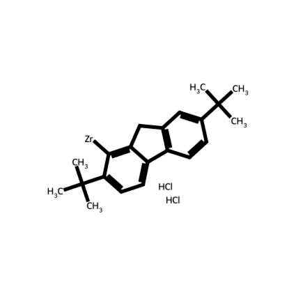 CC(C)(C)c1ccc2c(c1)Cc1c-2ccc(C(C)(C)C)[c]1[Zr].Cl.Cl